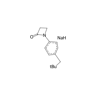 CC(C)(C)Cc1ccc(N2CCC2=O)cc1.[NaH]